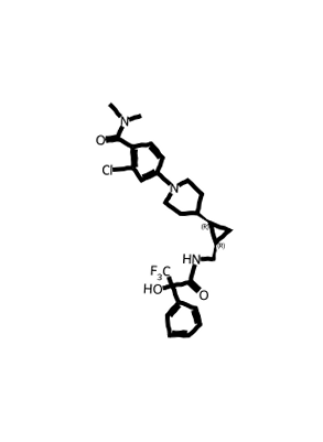 CN(C)C(=O)c1ccc(N2CCC([C@H]3C[C@H]3CNC(=O)C(O)(c3ccccc3)C(F)(F)F)CC2)cc1Cl